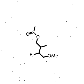 CCC(COC)C(C)COS(C)=O